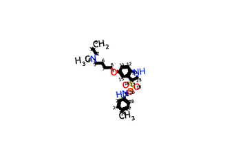 C=CCN(C)CCCCOc1ccc2c(c1)C(S(=O)(=O)ONc1ccc(C)cc1)CN2